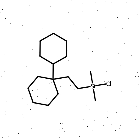 C[Si](C)(Cl)CCC1(C2CCCCC2)CCCCC1